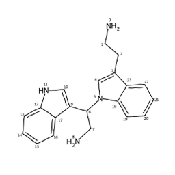 NCCc1cn(C(CN)c2c[nH]c3ccccc23)c2ccccc12